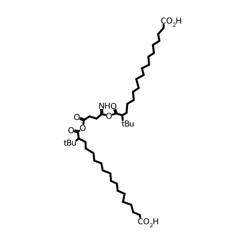 CC(C)(C)C(CCCCCCCCCCCCCCCC(=O)O)C(=O)OC(=N)CCC(=O)OC(=O)C(CCCCCCCCCCCCCCCC(=O)O)C(C)(C)C